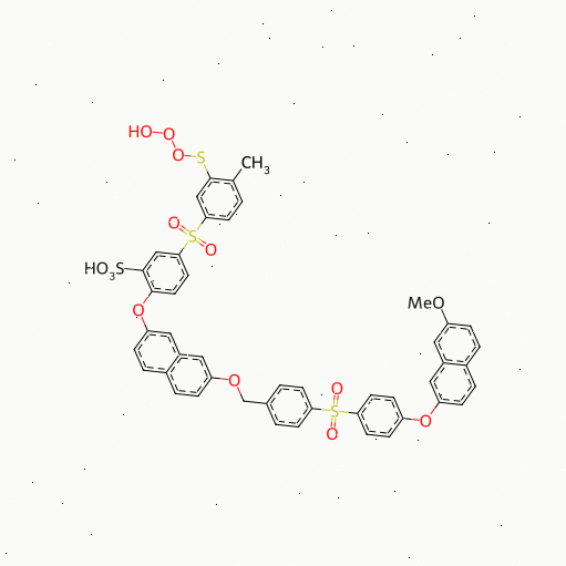 COc1ccc2ccc(Oc3ccc(S(=O)(=O)c4ccc(COc5ccc6ccc(Oc7ccc(S(=O)(=O)c8ccc(C)c(SOOO)c8)cc7S(=O)(=O)O)cc6c5)cc4)cc3)cc2c1